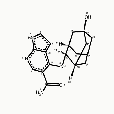 NC(=O)c1cnc2[nH]ccc2c1N[C@H]1[C@@H]2CC3C[C@H]1C[C@@](O)(C3)C2